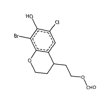 O=COCCC1CCOc2c1cc(Cl)c(O)c2Br